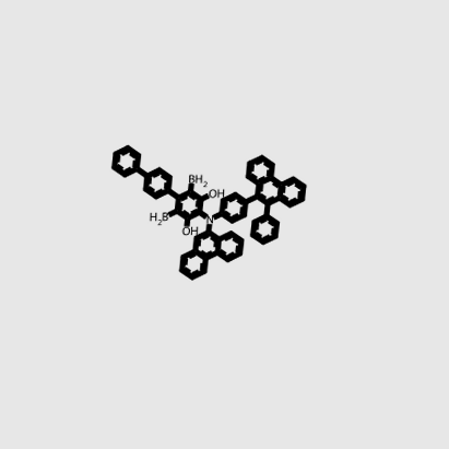 Bc1c(O)c(N(c2ccc(-c3c(-c4ccccc4)c4ccccc4c4ccccc34)cc2)c2cc3ccccc3c3ccccc23)c(O)c(B)c1-c1ccc(-c2ccccc2)cc1